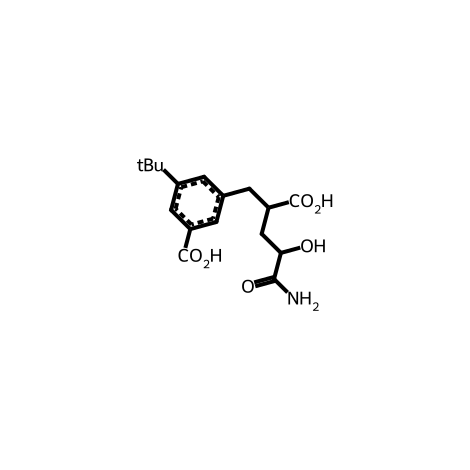 CC(C)(C)c1cc(CC(CC(O)C(N)=O)C(=O)O)cc(C(=O)O)c1